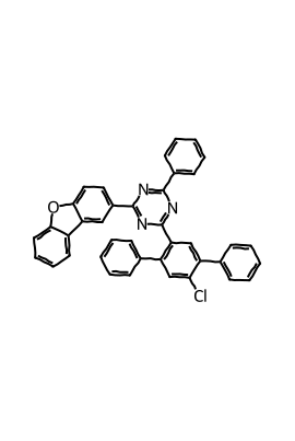 Clc1cc(-c2ccccc2)c(-c2nc(-c3ccccc3)nc(-c3ccc4oc5ccccc5c4c3)n2)cc1-c1ccccc1